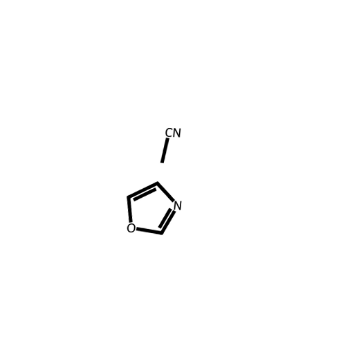 CC#N.c1cocn1